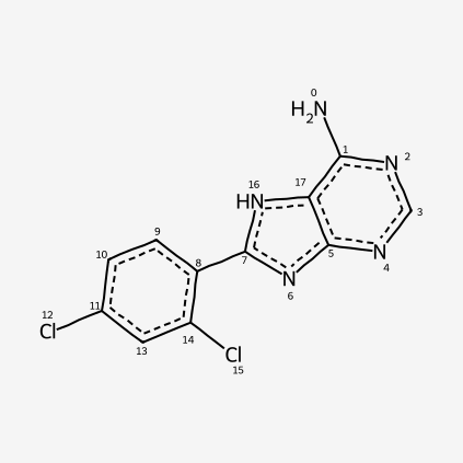 Nc1ncnc2nc(-c3ccc(Cl)cc3Cl)[nH]c12